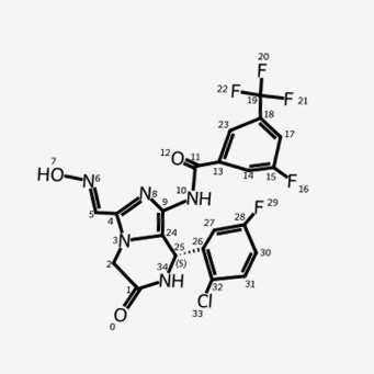 O=C1Cn2c(C=NO)nc(NC(=O)c3cc(F)cc(C(F)(F)F)c3)c2[C@H](c2cc(F)ccc2Cl)N1